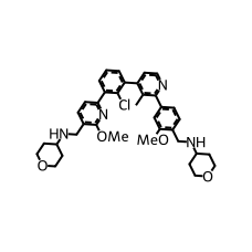 COc1cc(-c2nccc(-c3cccc(-c4ccc(CNC5CCOCC5)c(OC)n4)c3Cl)c2C)ccc1CNC1CCOCC1